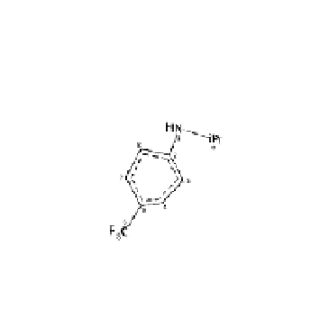 CC(C)Nc1[c]cc(C(F)(F)F)cc1